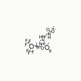 Cc1cc(F)ccc1[C@H]1C[C@@H](NCCNC(=O)OC(C)(C)C)CCN1C(=O)N(C)[C@H](C)c1cc(C(F)(F)F)cc(C(F)(F)F)c1